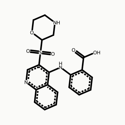 O=C(O)c1ccccc1Nc1c(S(=O)(=O)C2CNCCO2)cnc2ccccc12